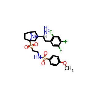 COc1ccc(S(=O)(=O)NCCS(=O)(=O)C23CCC(CC([C@H](N)Cc4cc(F)c(F)cc4F)C2)N3)cc1